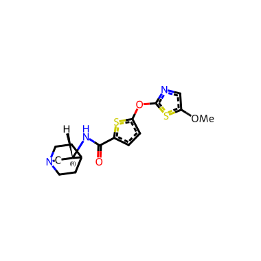 COc1cnc(Oc2ccc(C(=O)N[C@H]3CN4CCC3CC4)s2)s1